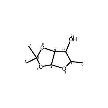 CC1OC2OC(C)(C)OC2C1O